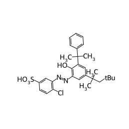 CC(C)(C)CC(C)(C)c1cc(N=Nc2cc(S(=O)(=O)O)ccc2Cl)c(O)c(C(C)(C)c2ccccc2)c1